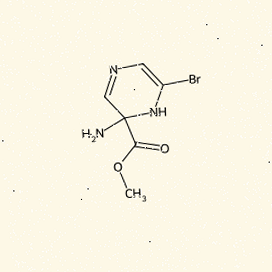 COC(=O)C1(N)C=NC=C(Br)N1